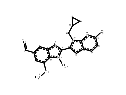 COc1cc(C=O)cc2nc(-c3cc4ccc(Cl)nc4n3CC3CC3)n(C)c12